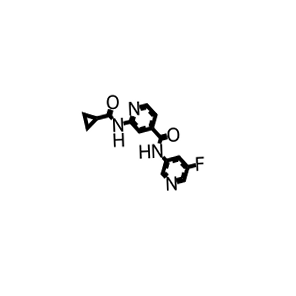 O=C(Nc1cncc(F)c1)c1ccnc(NC(=O)C2CC2)c1